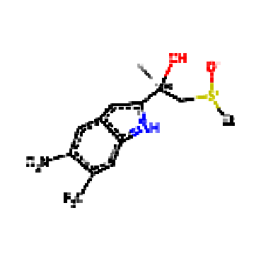 CC[S+]([O-])C[C@](C)(O)c1cc2cc([N+](=O)[O-])c(C(F)(F)F)cc2[nH]1